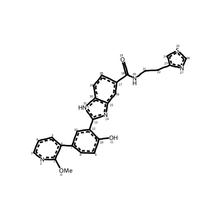 COc1ncccc1-c1ccc(O)c(-c2nc3cc(C(=O)NCCc4cscn4)ccc3[nH]2)c1